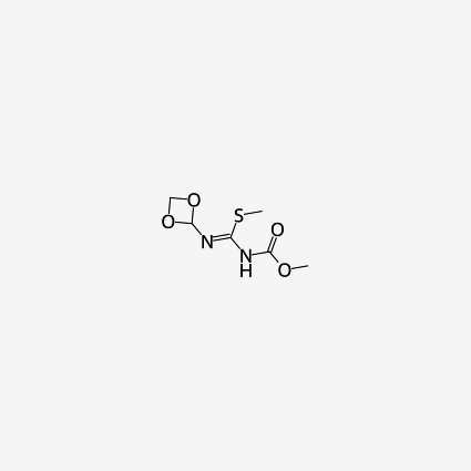 COC(=O)N/C(=N/C1OCO1)SC